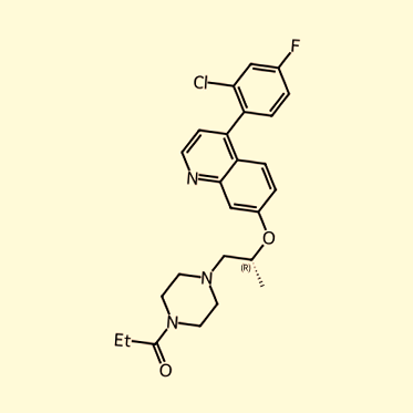 CCC(=O)N1CCN(C[C@@H](C)Oc2ccc3c(-c4ccc(F)cc4Cl)ccnc3c2)CC1